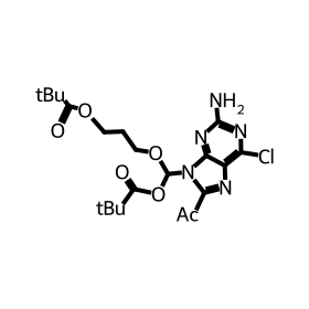 CC(=O)c1nc2c(Cl)nc(N)nc2n1C(OCCCOC(=O)C(C)(C)C)OC(=O)C(C)(C)C